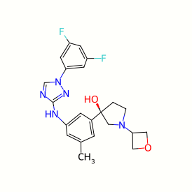 Cc1cc(Nc2ncn(-c3cc(F)cc(F)c3)n2)cc([C@]2(O)CCN(C3COC3)C2)c1